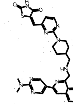 CN(C)c1ncc(-c2cc3ccccc3c(CNCC3CCN(c4nccc(/C=C5/SC(=O)NC5=O)n4)CC3)n2)cn1